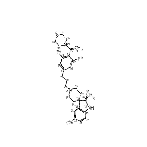 C=C(c1c(F)cc(CCCN2CCC3(CC2)C(=C)Nc2ccc(Cl)cc23)cc1F)N1CCSCC1